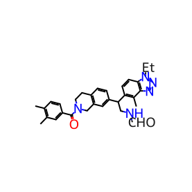 CCn1nnc2c(C)c(C(CNC=O)c3ccc4c(c3)CN(C(=O)c3ccc(C)c(C)c3)CC4)ccc21